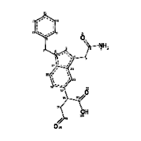 NC(=O)Cc1cn(Cc2ccccc2)c2ccc(C(CC=O)C(=O)O)cc12